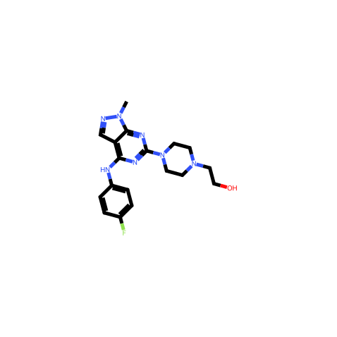 Cn1ncc2c(Nc3ccc(F)cc3)nc(N3CCN(CCO)CC3)nc21